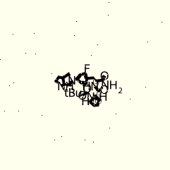 CC(C)(C)OC(=O)N1[C@@H]2CC[C@@H](C2)[C@H]1C(=O)N[C@@H](Cc1ccc(N2CC3CCNC3C2)cc1F)C(N)=O